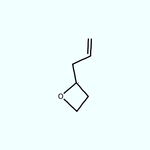 C=CC[C]1CCO1